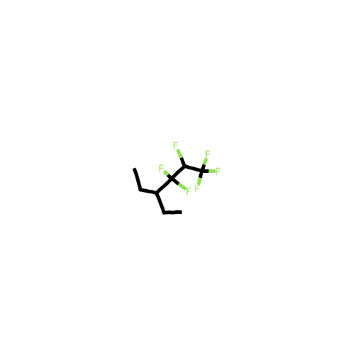 CCC(CC)C(F)(F)C(F)C(F)(F)F